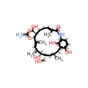 C/C1=C\CC[C@H](CO)[C@@H](OC(N)=O)/C(C)=C/[C@H](C)[C@@H](O)[C@@H](CO)C[C@H](C)Cc2c(O)ccc(c2O)NC1=O